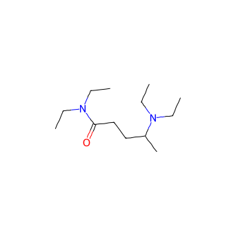 CCN(CC)C(=O)CCC(C)N(CC)CC